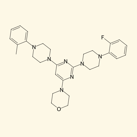 Cc1ccccc1N1CCN(c2cc(N3CCOCC3)nc(N3CCN(c4ccccc4F)CC3)n2)CC1